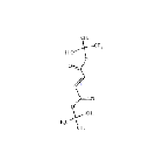 CC(C)(OC(=O)/C=C/C(=O)OC(C)(C)C(F)(F)F)C(F)(F)F